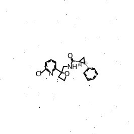 O=C(NCC1(c2cccc(Cl)n2)CCO1)[C@H]1C[C@@H]1c1ccccc1